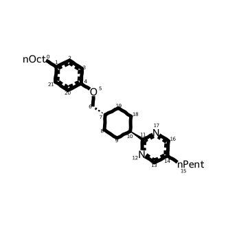 CCCCCCCCc1ccc(OC[C@H]2CC[C@H](c3ncc(CCCCC)cn3)CC2)cc1